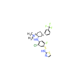 CN(C)[C@@H]1CC[C@H](c2cccc(C(F)(F)F)c2)CC1Nc1cc(F)c(SNc2nccs2)cc1Cl